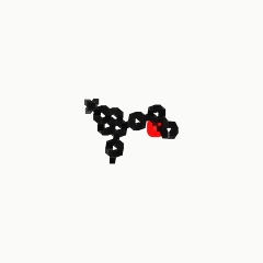 Cc1ccc(-c2cc(-c3ccc(-c4cccc5c4oc4ccccc45)cc3)c3ccc4cc(C(C)(C)C)cc5ccc2c3c54)cc1